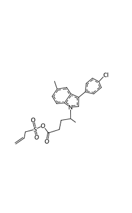 C=CCS(=O)(=O)OC(=O)CCC(C)n1cc(-c2ccc(Cl)cc2)c2cc(C)ccc21